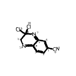 N#Cc1ccc2c(c1)=NC(Cl)(Cl)CN=2